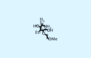 CCC(C(CO)OCCOC)C(O)C(C)N